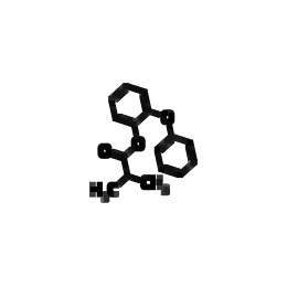 CC(C)C(=O)Oc1ccccc1Oc1ccccc1